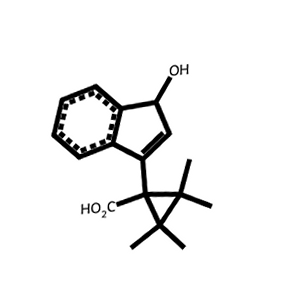 CC1(C)C(C)(C)C1(C(=O)O)C1=CC(O)c2ccccc21